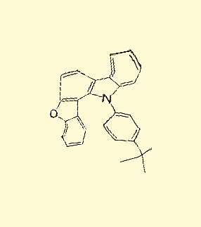 CC(C)(C)c1ccc(-n2c3ccccc3c3ccc4oc5ccccc5c4c32)cc1